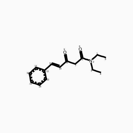 CCN(CC)C(=O)CC(=O)C=Cc1ccccc1